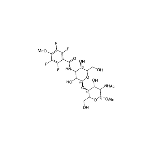 COc1c(F)c(F)c(C(=O)NC2C(O)[C@H](O[C@@H]3C(CO)O[C@@H](OC)C(NC(C)=O)C3O)OC(CO)[C@@H]2O)c(F)c1F